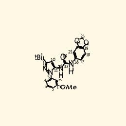 COc1cccc(-n2nc(C(C)(C)C)cc2NC(=O)Nc2ccc3c(c2)OCO3)c1